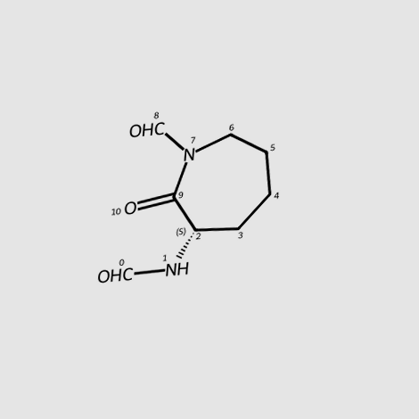 O=CN[C@H]1CCCCN(C=O)C1=O